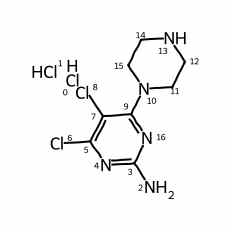 Cl.Cl.Nc1nc(Cl)c(Cl)c(N2CCNCC2)n1